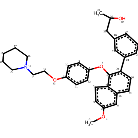 COc1ccc2c(Oc3ccc(OCCN4CCCCC4)cc3)c(-c3cccc(CC(C)O)c3)ccc2c1